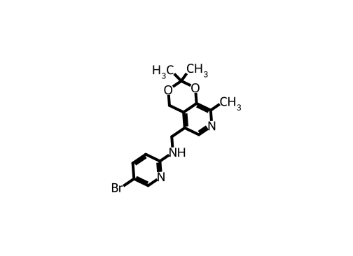 Cc1ncc(CNc2ccc(Br)cn2)c2c1OC(C)(C)OC2